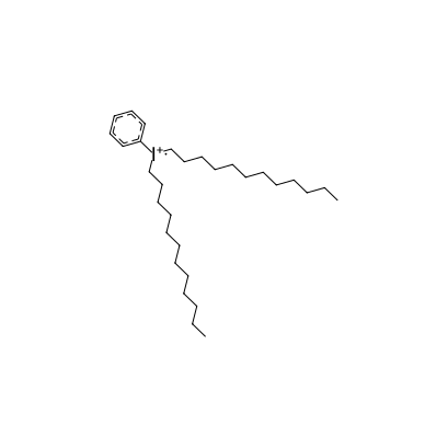 CCCCCCCCCCCC[I+](CCCCCCCCCCCC)c1ccccc1